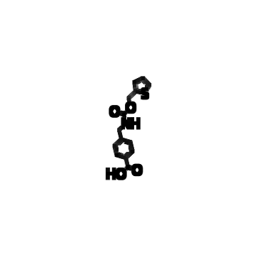 O=C(NCc1ccc(C(=O)O)cc1)OCc1cccs1